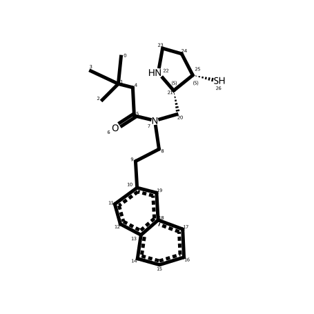 CC(C)(C)CC(=O)N(CCc1ccc2ccccc2c1)C[C@@H]1NCC[C@@H]1S